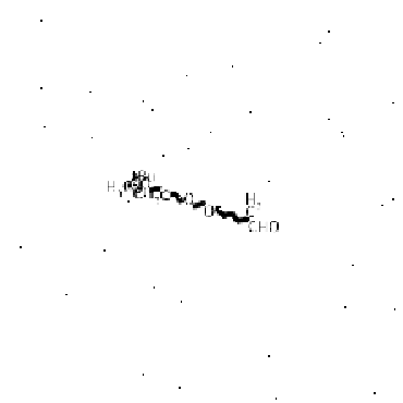 CC(C=O)CCCCOCCOCCOCCO[Si](C)(C)C(C)(C)C